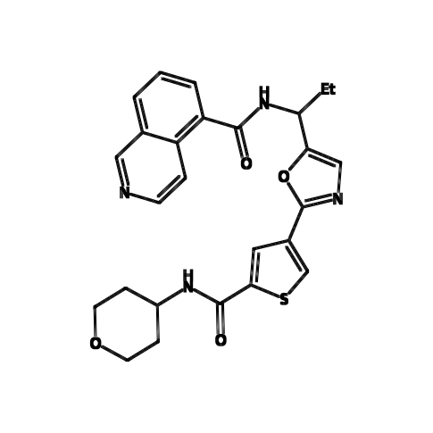 CCC(NC(=O)c1cccc2cnccc12)c1cnc(-c2csc(C(=O)NC3CCOCC3)c2)o1